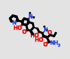 C=C1C(=O)c2c(O)c(-c3ccccn3)cc(N(C)C)c2C[C@H]1C[C@H](O)[C@@H](/C(O)=C(/C(N)=O)C(=O)CC)N(C)C